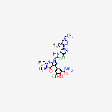 C[C@H]1CN(CC(F)(F)F)CCN1c1cc(NC(=O)Cn2cc(-c3cc(Cl)c(O)c(C(N)=O)c3)c3c(=O)n(C)c(C(F)(F)F)nc32)c(Cl)cn1